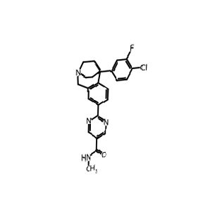 CNC(=O)c1cnc(-c2ccc3c(c2)CN2CCC3(c3ccc(Cl)c(F)c3)CC2)nc1